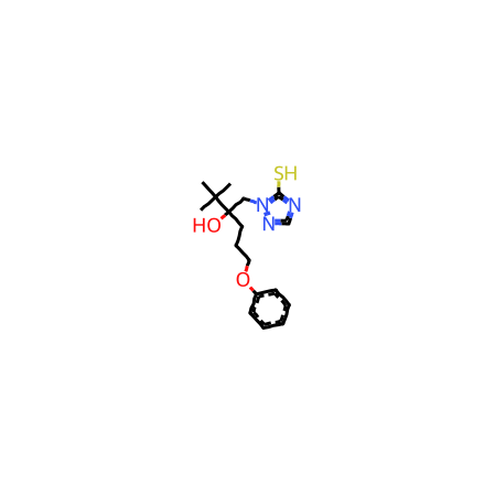 CC(C)(C)C(O)(CCCOc1ccccc1)Cn1ncnc1S